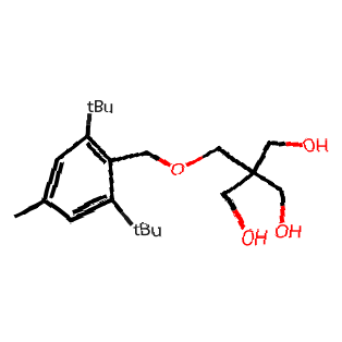 Cc1cc(C(C)(C)C)c(COCC(CO)(CO)CO)c(C(C)(C)C)c1